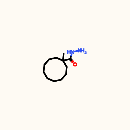 CC1(C(=O)NN)CCCCCCCCC1